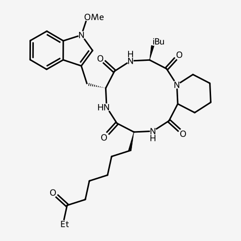 CCC(=O)CCCCC[C@@H]1NC(=O)C2CCCCN2C(=O)[C@H](C(C)CC)NC(=O)[C@@H](Cc2cn(OC)c3ccccc23)NC1=O